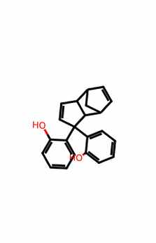 Oc1ccccc1C1(c2ccccc2O)C=CC2C3C=CC(C3)C21